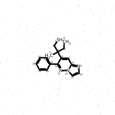 CCC(C)(CS)c1cc2nccn2nc1-c1ccccc1